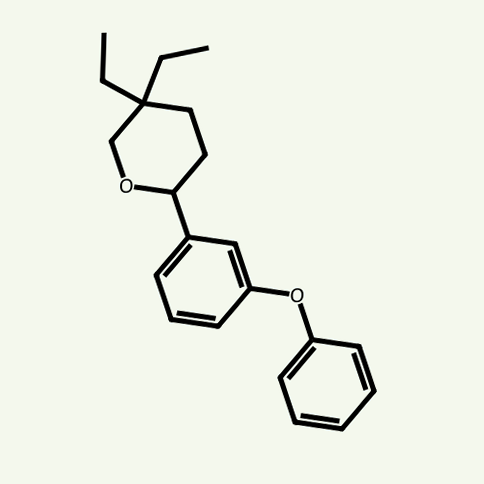 CCC1(CC)CCC(c2cccc(Oc3ccccc3)c2)OC1